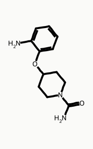 NC(=O)N1CCC(Oc2ccccc2N)CC1